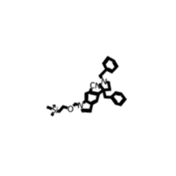 C[Si](C)(C)CCOCn1ccc2cc(C3(Cc4ccccc4)CCN(Cc4ccccc4)C3)c(C#N)cc21